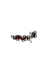 CC(Oc1cc(C(=O)Nc2ccc(C(=O)N3C[C@@H](C)N(C(=O)CCOCCOCCOCCSc4cccc5c4C(=O)N(C4CCC(=O)NC4=O)C5=O)[C@@H](C)C3)cc2)nnc1N)c1c(Cl)ccc(F)c1Cl